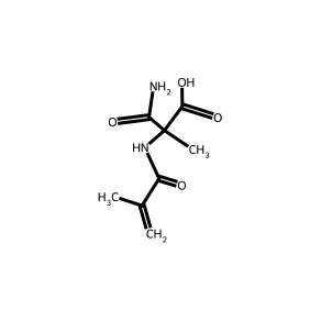 C=C(C)C(=O)NC(C)(C(N)=O)C(=O)O